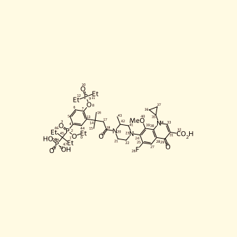 CCOP(=O)(c1ccc(OP(=O)(CC)CC)c(C(C)(C)CC(=O)N2CCN(c3c(F)cc4c(=O)c(C(=O)O)cn(C5CC5)c4c3OC)CC2C)c1)C(CC)(CC)P(=O)(O)O